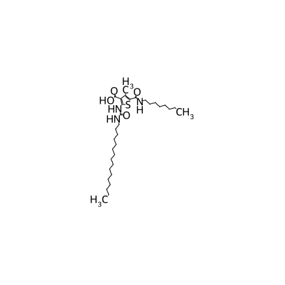 CCCCCCCCCCCCCCCCNC(=O)Nc1sc(C(=O)NCCCCCCCC)c(C)c1C(=O)O